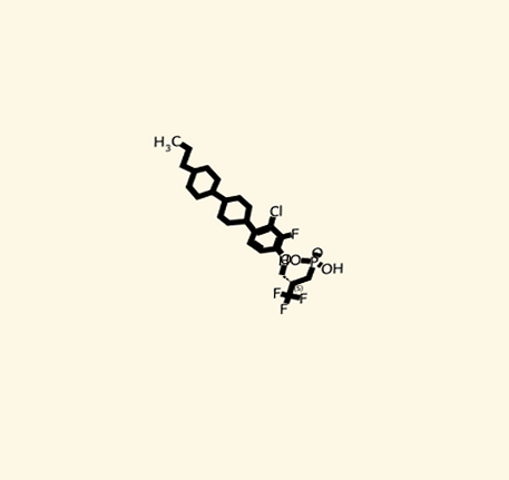 CCCC1CCC(C2CCC(c3ccc(OC[C@H](CP(=O)(O)O)C(F)(F)F)c(F)c3Cl)CC2)CC1